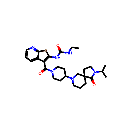 CCNC(=O)Nc1sc2ncccc2c1C(=O)N1CCC(N2CCCC3(CCN(C(C)C)C3=O)C2)CC1